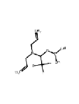 C=CCN(CC=C)C(OP(O)O)C(F)(F)F